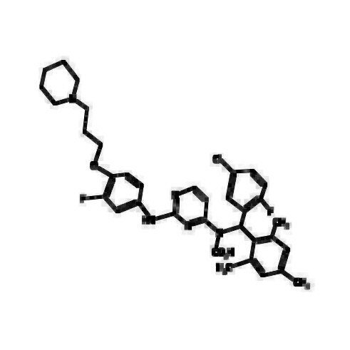 Cc1cc(C)c(C(c2cc(Cl)ccc2F)N(C(=O)O)c2ccnc(Nc3ccc(OCCCN4CCCCC4)c(F)c3)n2)c(C)c1